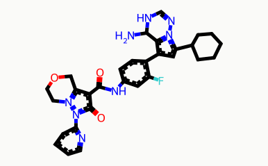 NC1NC=Nn2c(C3CCCCC3)cc(-c3ccc(NC(=O)c4c5n(n(-c6ccccn6)c4=O)CCOC5)cc3F)c21